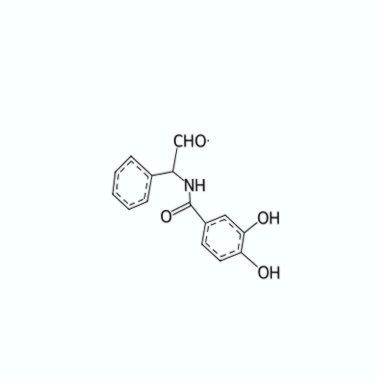 O=[C]C(NC(=O)c1ccc(O)c(O)c1)c1ccccc1